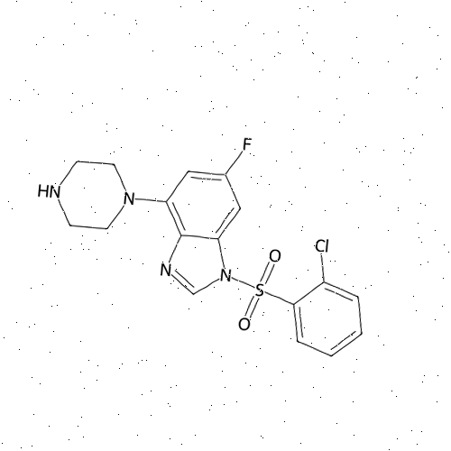 O=S(=O)(c1ccccc1Cl)n1cnc2c(N3CCNCC3)cc(F)cc21